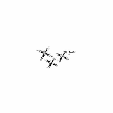 [O]=[Mn](=[O])(=[O])[O-].[O]=[Mn](=[O])(=[O])[O-].[O]=[Mn](=[O])(=[O])[O-].[Tm+3]